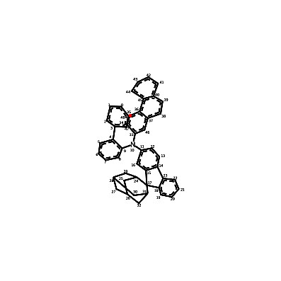 c1ccc(-c2ccccc2N(c2ccc3c(c2)C2(c4ccccc4-3)C3CC4CC(C3)CC2C4)c2ccc3c(ccc4ccccc43)c2)cc1